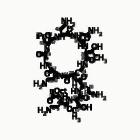 CCCCCCCCC(=O)N[C@@H](CCN)C(=O)N[C@H](C(=O)N[C@@H](CCN)C(=O)N[C@H]1CCNC(=O)[C@H]([C@@H](C)O)NC(=O)[C@H](CCN)NC(=O)[C@H](CCN)NC(=O)[C@H](CC(C)C)NC(=O)CNC(=O)[C@H](CCN)NC1=O)[C@@H](C)O